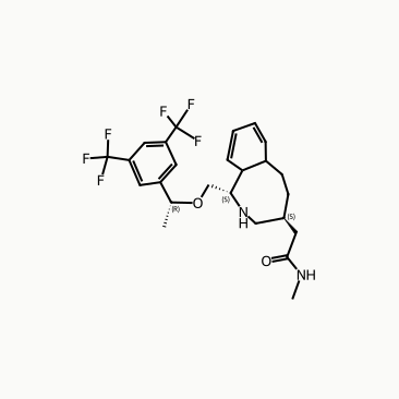 CNC(=O)C[C@@H]1CCC2C=CC=CC2[C@@H](CO[C@H](C)c2cc(C(F)(F)F)cc(C(F)(F)F)c2)NC1